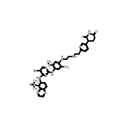 COc1cc(NCCNCCc2ccc(C3CCC(=O)NC3=O)cn2)c(C)cc1Nc1ncc(Br)c(Nc2ccc3nccnc3c2P(C)(C)=O)n1